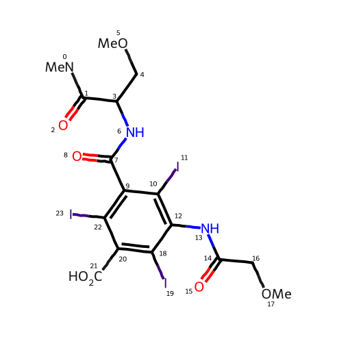 CNC(=O)C(COC)NC(=O)c1c(I)c(NC(=O)COC)c(I)c(C(=O)O)c1I